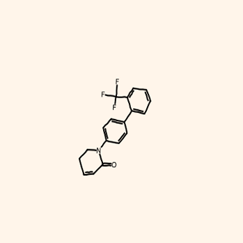 O=C1C=CCCN1c1ccc(-c2ccccc2C(F)(F)F)cc1